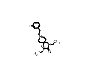 CC[C@H]1OC2(CCN(CCc3cccc(F)c3)CC2)CN(CC)C1=O